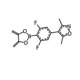 C=C1OB(c2c(F)cc(-c3c(C)noc3C)cc2F)OC1=C